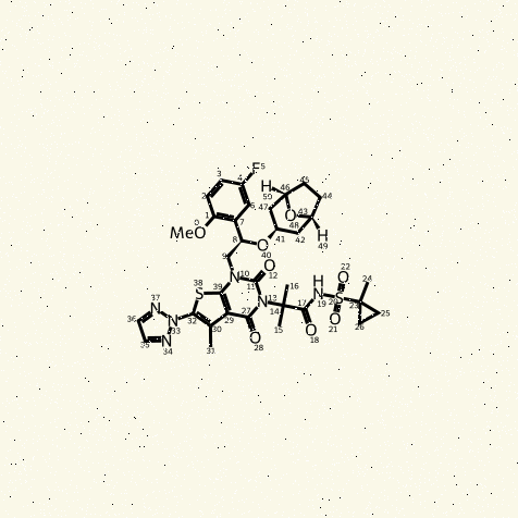 COc1ccc(F)cc1[C@H](Cn1c(=O)n(C(C)(C)C(=O)NS(=O)(=O)C2(C)CC2)c(=O)c2c(C)c(-n3nccn3)sc21)O[C@@H]1C[C@H]2CC[C@@H](C1)O2